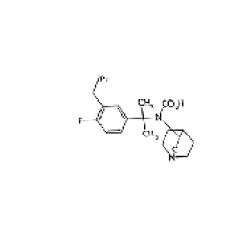 CC(C)Cc1cc(C(C)(C)N(C(=O)O)C2CN3CCC2CC3)ccc1F